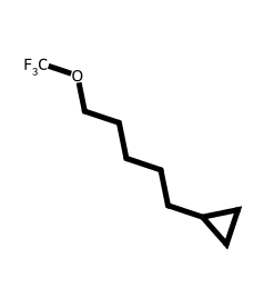 FC(F)(F)OCCCCCC1[CH]C1